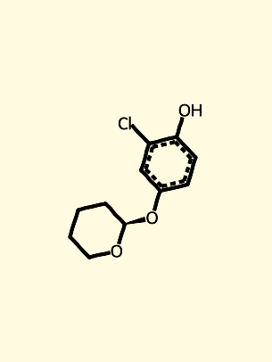 Oc1ccc(O[C@@H]2CCCCO2)cc1Cl